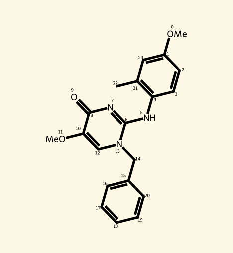 COc1ccc(Nc2nc(=O)c(OC)cn2Cc2ccccc2)c(C)c1